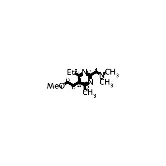 CCc1nc(CN(C)C)nc(C)c1CCOC